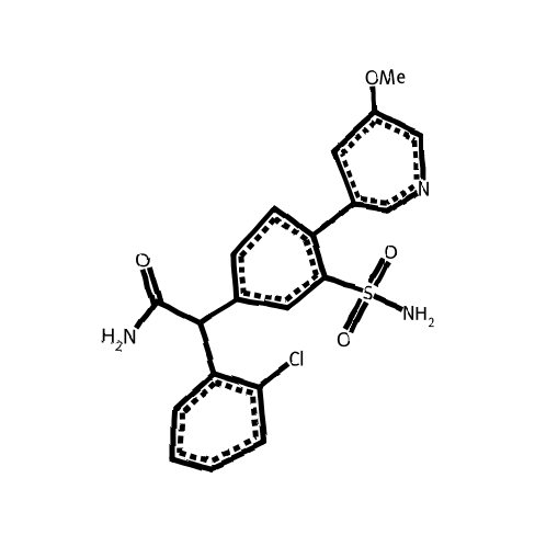 COc1cncc(-c2ccc(C(C(N)=O)c3ccccc3Cl)cc2S(N)(=O)=O)c1